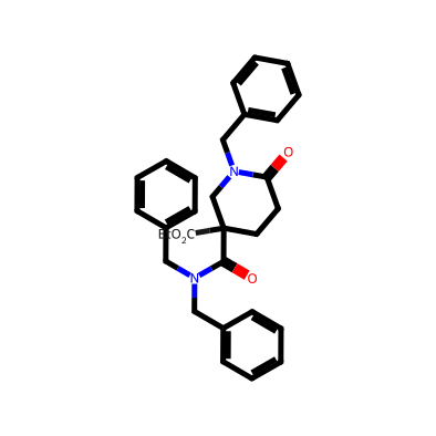 CCOC(=O)C1(C(=O)N(Cc2ccccc2)Cc2ccccc2)CCC(=O)N(Cc2ccccc2)C1